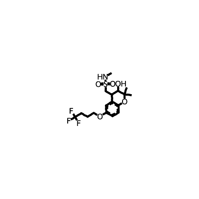 CNS(=O)(=O)CC1c2cc(OCCCC(F)(F)F)ccc2OC(C)(C)C1O